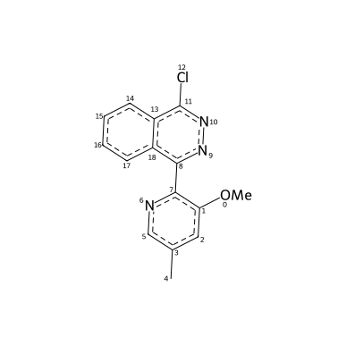 COc1cc(C)cnc1-c1nnc(Cl)c2ccccc12